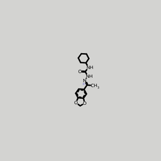 C/C(=N\NC(=O)NC1CCCCC1)c1ccc2c(c1)OCO2